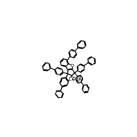 CCOC(=O)C1(C(=O)OCC)C(c2ccc(-c3ccccc3)cc2)(c2ccc(-c3ccccc3)cc2)c2oc3c(-c4ccc(-c5ccccc5)cc4)cccc3c2C1(c1ccc(-c2ccccc2)cc1)c1ccc(-c2ccccc2)cc1